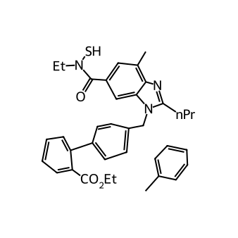 CCCc1nc2c(C)cc(C(=O)N(S)CC)cc2n1Cc1ccc(-c2ccccc2C(=O)OCC)cc1.Cc1ccccc1